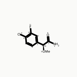 CO[C@H](C(N)=O)c1ccc(Cl)c(F)c1